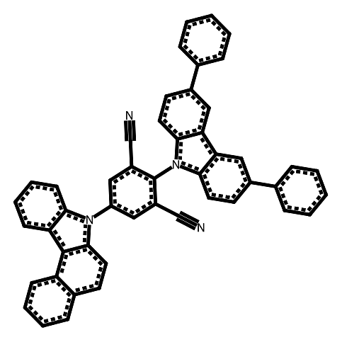 N#Cc1cc(-n2c3ccccc3c3c4ccccc4ccc32)cc(C#N)c1-n1c2ccc(-c3ccccc3)cc2c2cc(-c3ccccc3)ccc21